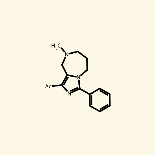 CC(=O)c1nc(-c2ccccc2)n2c1CN(C)CCC2